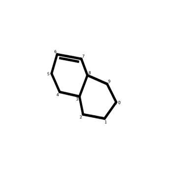 [CH]1CCC2CCC=CC2C1